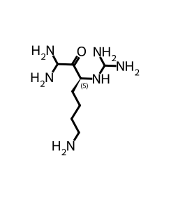 NCCCC[C@H](NC(N)N)C(=O)C(N)N